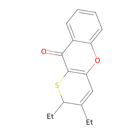 CCC1=Cc2oc3ccccc3c(=O)c2SC1CC